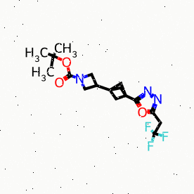 CC(C)(C)OC(=O)N1CC(C23CC(c4nnc(CC(F)(F)F)o4)(C2)C3)C1